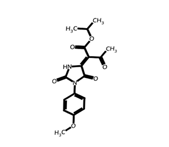 COc1ccc(N2C(=O)NC(=C(C(C)=O)C(=O)OC(C)C)C2=O)cc1